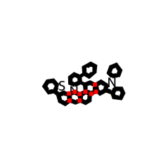 c1ccc(-c2ccccc2-c2c(-c3ccccc3)cccc2N(c2cccc(-c3ccc4c(c3)c3ccccc3n4-c3ccccc3)c2)c2cccc3c2sc2ccccc23)cc1